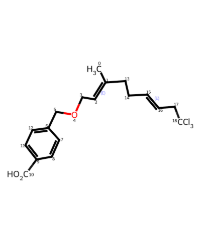 C/C(=C\COCc1ccc(C(=O)O)cc1)CC/C=C/CC(Cl)(Cl)Cl